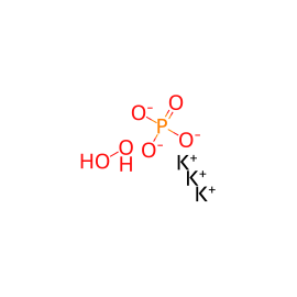 O=P([O-])([O-])[O-].OO.[K+].[K+].[K+]